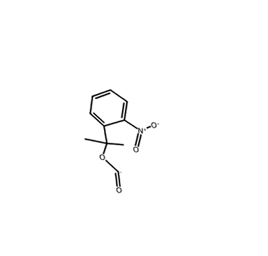 CC(C)(O[C]=O)c1ccccc1[N+](=O)[O-]